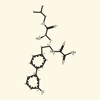 CC(C)COC(=O)[C@H](O)C[C@@H](Cc1ccc(-c2cccc(Cl)c2)cc1)NC(=O)C(=O)O